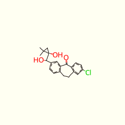 CC1(C)C[C@]1(O)C(O)c1ccc2c(c1)C(=O)c1ccc(Cl)cc1CC2